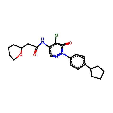 O=C(CC1CCCCO1)Nc1cnn(-c2ccc(C3CCCC3)cc2)c(=O)c1Cl